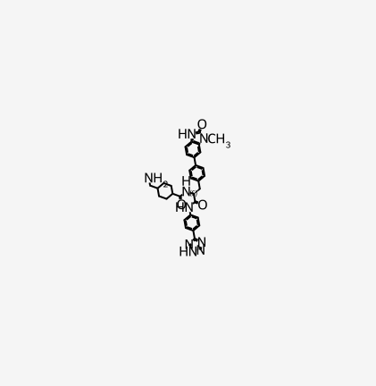 Cn1c(=O)[nH]c2ccc(-c3ccc(C[C@H](NC(=O)C4CCC(CN)CC4)C(=O)Nc4ccc(-c5nn[nH]n5)cc4)cc3)cc21